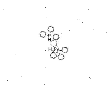 PP(C[C@H]1CC[C@H](C[PH](c2ccccc2)(c2ccccc2)c2ccccc2)CC1)(c1ccccc1)(c1ccccc1)c1ccccc1